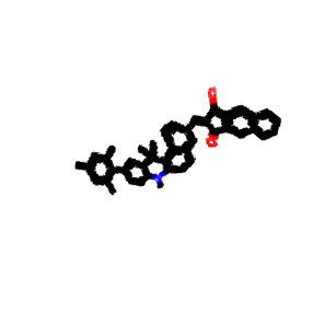 Cc1cc(C)c(-c2ccc3c(c2)C(C)(C)c2c(ccc4cc(C=C5C(=O)c6cc7ccccc7cc6C5=O)ccc24)N3C)c(C)c1